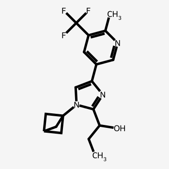 CCC(O)c1nc(-c2cnc(C)c(C(F)(F)F)c2)cn1C12CC(C1)C2